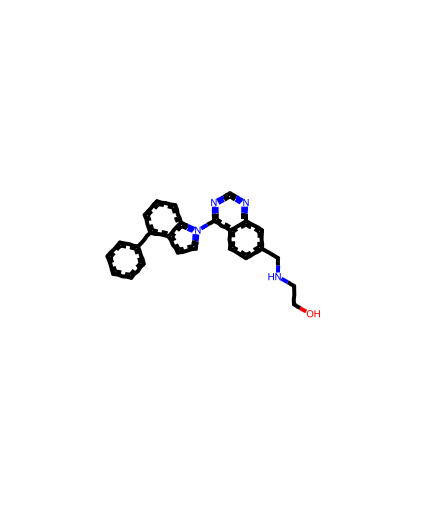 OCCNCc1ccc2c(-n3ccc4c(-c5ccccc5)cccc43)ncnc2c1